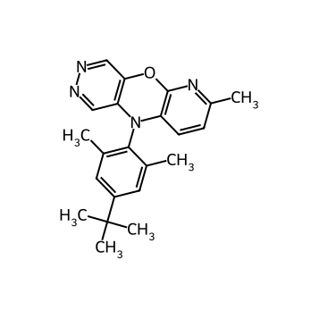 Cc1ccc2c(n1)Oc1cnncc1N2c1c(C)cc(C(C)(C)C)cc1C